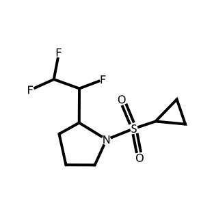 O=S(=O)(C1CC1)N1CCCC1C(F)C(F)F